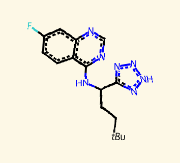 CC(C)(C)CCC(Nc1ncnc2cc(F)ccc12)c1nn[nH]n1